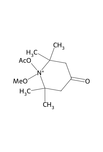 CO[N+]1(OC(C)=O)C(C)(C)CC(=O)CC1(C)C